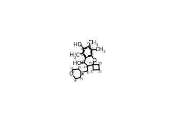 Cc1c(C)c2c(c(C)c1O)C(O)C(CN1CCOCC1)C1(CCC1)O2